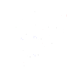 Cc1c(Nc2ccc(I)cc2Cl)c(NS(=O)(=O)C2(CC(O)CO)CC2)cn(C)c1=O